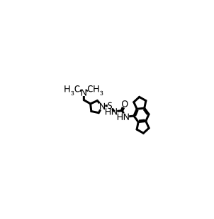 CN(C)CC1CCN(SNC(=O)Nc2c3c(cc4c2CCC4)CCC3)C1